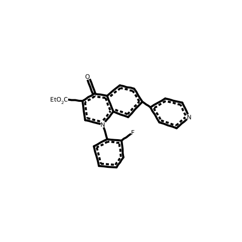 CCOC(=O)c1cn(-c2ccccc2F)c2cc(-c3ccncc3)ccc2c1=O